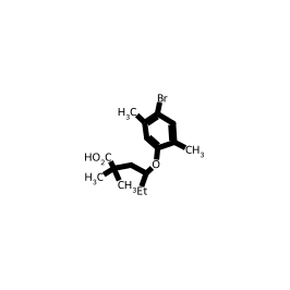 CCC(CC(C)(C)C(=O)O)Oc1cc(C)c(Br)cc1C